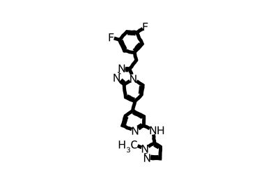 Cn1nccc1Nc1cc(-c2ccn3c(Cc4cc(F)cc(F)c4)nnc3c2)ccn1